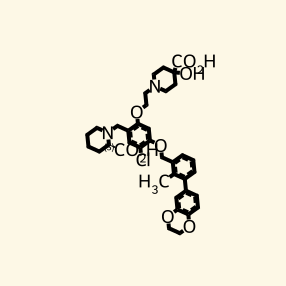 Cc1c(COc2cc(OCCN3CCC(O)(C(=O)O)CC3)c(CN3CCCC[C@H]3C(=O)O)cc2Cl)cccc1-c1ccc2c(c1)OCCO2